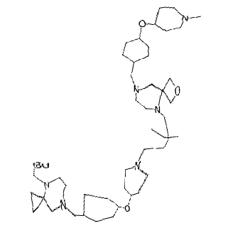 CN1CCC(OC2CCC(CN3CCN(CC(C)(C)CCN4CCC(OC5CCC(CN6CCN(CC(C)(C)C)C7(CC7)C6)CC5)CC4)C4(COC4)C3)CC2)CC1